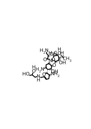 CN[C@@H]1[C@@H](O)[C@@H](O[C@H]2[C@H](NC(=O)[C@@H](O)CN)C[C@H](N)C([C@H]3OC(CNCC(O)CO)=CC[C@H]3N)[C@@H]2O)OC[C@]1(C)O